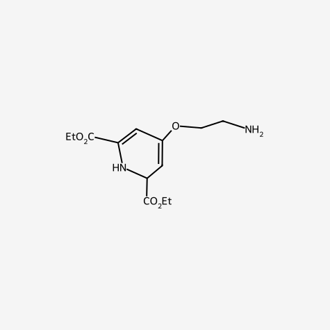 CCOC(=O)C1=CC(OCCN)=CC(C(=O)OCC)N1